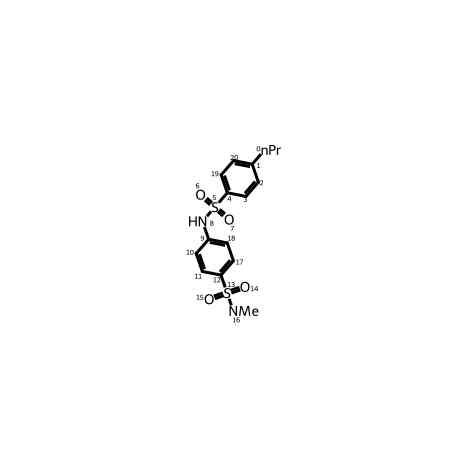 CCCc1ccc(S(=O)(=O)Nc2ccc(S(=O)(=O)NC)cc2)cc1